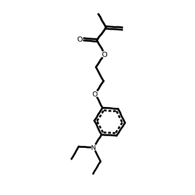 C=C(C)C(=O)OCCOc1cccc(N(CC)CC)c1